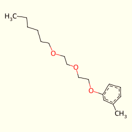 CCCCCCOCCOCCOc1cccc(C)c1